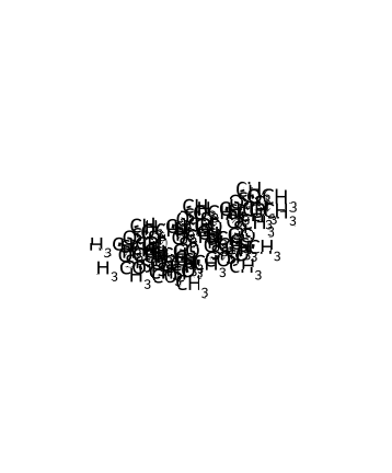 C[SiH](C)O[Si](C)(C)O[Si](C)(C)O[Si](C)(C)O[Si](C)(C)O[Si](C)(C)O[Si](C)(C)O[Si](C)(C)O[Si](C)(C)O[Si](C)(C)O[Si](C)(C)O[Si](C)(C)O[Si](C)(C)O[Si](C)(C)O[Si](C)(C)O[Si](C)(C)O[Si](C)(C)O[Si](C)(C)O[Si](C)(C)O[Si](C)(C)O[Si](C)(C)C